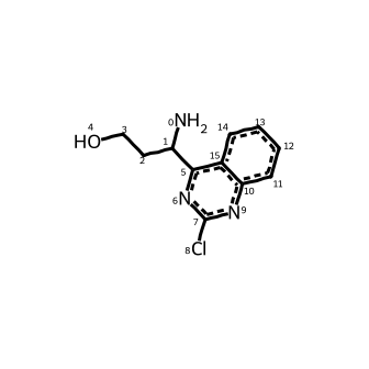 NC(CCO)c1nc(Cl)nc2ccccc12